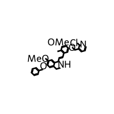 COc1cc2c(cc1OCc1ccccc1)CCNC2/C=C/c1cc(OCc2cccnc2Cl)c(OC)cc1C